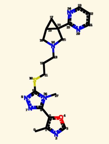 Cc1ncoc1-c1nnc(SCCCN2CC3CC3(c3ncccn3)C2)n1C